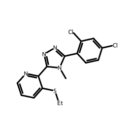 CCSc1cccnc1-c1nnc(-c2ccc(Cl)cc2Cl)n1C